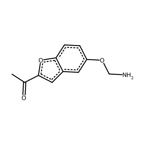 CC(=O)c1cc2cc(OCN)ccc2o1